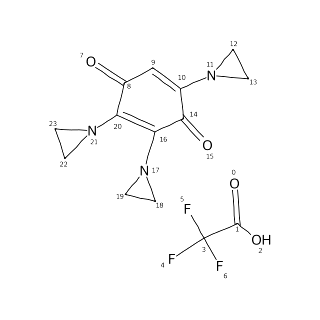 O=C(O)C(F)(F)F.O=C1C=C(N2CC2)C(=O)C(N2CC2)=C1N1CC1